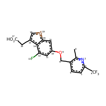 Cc1nc(C(F)(F)F)ccc1COc1cc(F)c2c(CC(=O)O)csc2c1